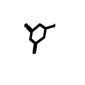 O=C1CC(=O)CC(I)C1